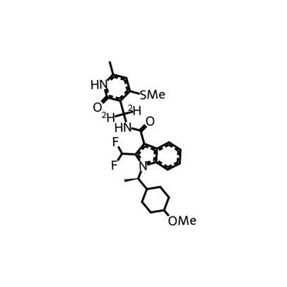 [2H]C([2H])(NC(=O)c1c(C(F)F)n([C@H](C)C2CCC(OC)CC2)c2ccccc12)c1c(SC)cc(C)[nH]c1=O